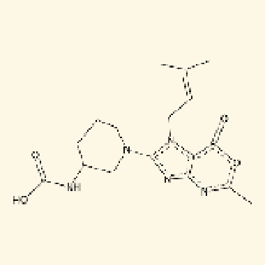 CC(C)=CCn1c(N2CCCC(NC(=O)O)C2)nc2nc(C)oc(=O)c21